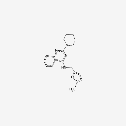 Cc1ccc(CNc2nc(N3CCCCC3)nc3ccccc23)o1